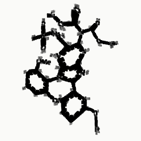 CCOc1cccc(-c2nc3nc(N(C(=O)OC(C)(C)C)C(=O)OC(C)(C)C)c(NS(C)(=O)=O)nc3n2-c2c(OC)cccc2OC)n1